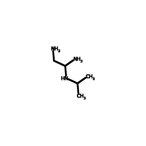 CC(C)NC(N)CN